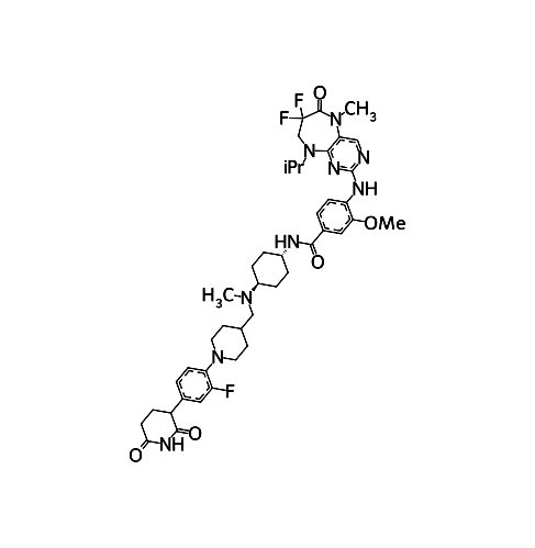 COc1cc(C(=O)N[C@H]2CC[C@H](N(C)CC3CCN(c4ccc(C5CCC(=O)NC5=O)cc4F)CC3)CC2)ccc1Nc1ncc2c(n1)N(C(C)C)CC(F)(F)C(=O)N2C